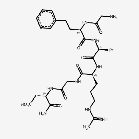 CC(C)[C@H](NC(=O)[C@@H](CCc1ccccc1)NC(=O)CN)C(=O)N[C@@H](CCCNC(=N)N)C(=O)NCC(=O)N[C@@H](CC(=O)O)C(N)=O